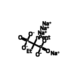 CCCCCC(CC)(P(=O)([O-])[O-])P(=O)([O-])[O-].[Na+].[Na+].[Na+].[Na+]